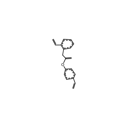 C=Cc1ccc(OC(=C)Cc2ccccc2C=C)cc1